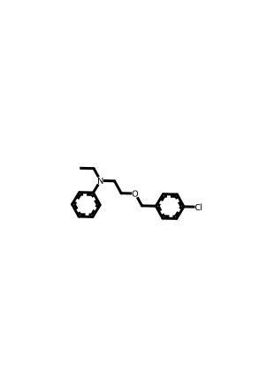 CCN(CCOCc1ccc(Cl)cc1)c1ccccc1